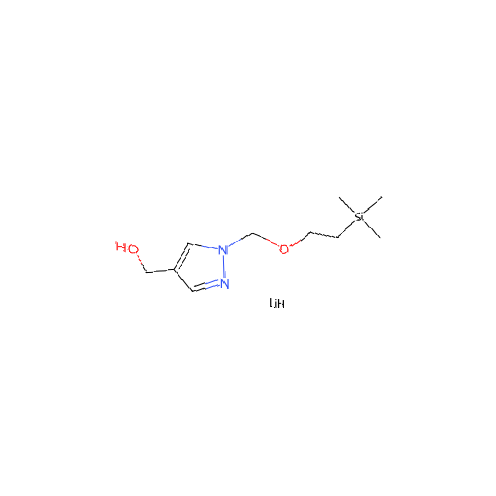 C[Si](C)(C)CCOCn1cc(CO)cn1.[LiH]